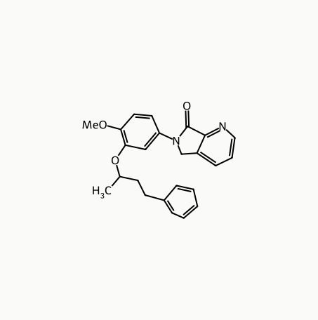 COc1ccc(N2Cc3cccnc3C2=O)cc1OC(C)CCc1ccccc1